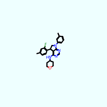 Cc1cccc(N2CC(c3ccc(C)cc3F)c3c(NC4CCOCC4)ncnc32)c1